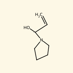 C=C[C](O)N1CCCC1